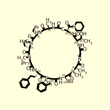 CC[C@H](C)[C@@H]1NC(=O)[C@H](Cc2ccccc2)N(C)C(=O)[C@H](CCc2ccccc2)NC(=O)[C@H](C(C)C)N(C)C(=O)[C@H](CC(C)C)N(C)C(=O)[C@H](CC(C)C)NC(=O)[C@@H](C)NC(=O)C[C@@H](C(=O)N2CCCCC2)NC(=O)[C@H]([C@@H](C)O)NC(=O)/C=N\C(=O)[C@H](C)N(C)C1=O